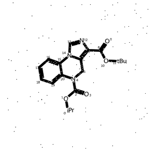 CC(C)OC(=O)N1Cc2c(C(=O)OC(C)(C)C)ncn2-c2ccccc21